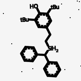 CC(C)(C)c1cc(CC[SiH2]C(c2ccccc2)c2ccccc2)cc(C(C)(C)C)c1O